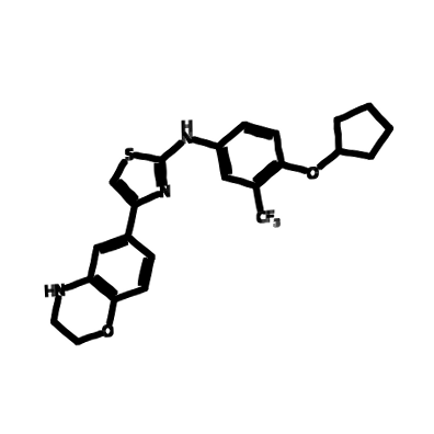 FC(F)(F)c1cc(Nc2nc(-c3ccc4c(c3)NCCO4)cs2)ccc1OC1CCCC1